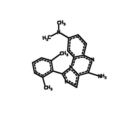 Cc1cccc(C)c1-c1ncc2c(N)nc3ccc(N(C)C)cc3n12